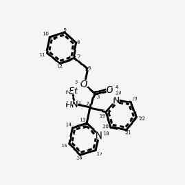 CCNC(C(=O)OCc1ccccc1)(c1ccccn1)c1ccccn1